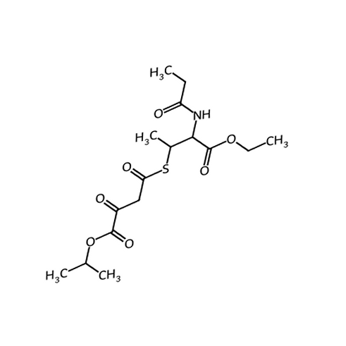 CCOC(=O)C(NC(=O)CC)C(C)SC(=O)CC(=O)C(=O)OC(C)C